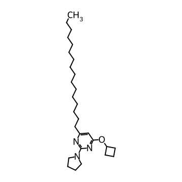 CCCCCCCCCCCCCCCCc1cc(OC2CCC2)nc(N2CCCC2)n1